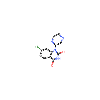 O=c1[nH]c(=O)n(-c2cnccn2)c2cc(Cl)ccc12